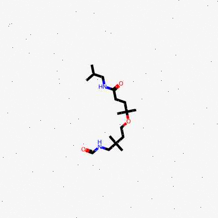 CC(C)CNC(=O)CCC(C)(C)OCCC(C)(C)CNC=O